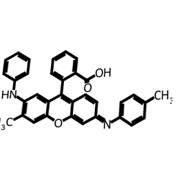 Cc1ccc(/N=c2\ccc3c(-c4ccccc4C(=O)O)c4cc(Nc5ccccc5)c(C)cc4oc-3c2)cc1